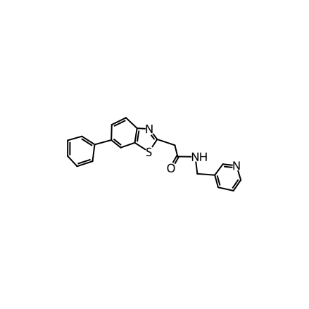 O=C(Cc1nc2ccc(-c3ccccc3)cc2s1)NCc1cccnc1